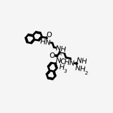 CN(C(=O)[C@H](CCCNC(=N)N)NCCNC(=O)c1ccc2ccccc2c1)c1ccc2ccccc2c1